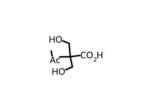 CC(C)=O.CC(CO)(CO)C(=O)O